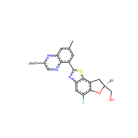 CC[C@@]1(CO)Cc2c(c(F)cc3nc(-c4cc(C)cc5nc(OC)cnc45)sc23)O1